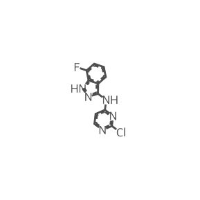 Fc1cccc2c(Nc3ccnc(Cl)n3)n[nH]c12